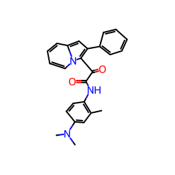 Cc1cc(N(C)C)ccc1NC(=O)C(=O)c1c(-c2ccccc2)cc2ccccn12